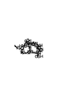 C#CCOCc1cc(NC(=O)CNC(=O)C(NC(=O)OC(C)(C)C)C(C)C)ccc1C[N+](C)(C)CC#Cc1ccc(OCCCc2sc(N3CCCc4c3nnc(Nc3nc5ccccc5s3)c4C)nc2C(=O)O)c(F)c1